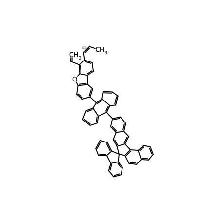 C=Cc1c(/C=C\C)ccc2c1oc1ccc(-c3c4ccccc4c(-c4ccc5cc6c(cc5c4)C4(c5ccccc5-c5ccccc54)c4ccc5ccccc5c4-6)c4ccccc34)cc12